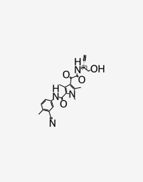 C#C[C@H](CO)NC(=O)C(=O)c1c(C)c(C(=O)Nc2ccc(C)c(C#N)c2)n(C)c1C